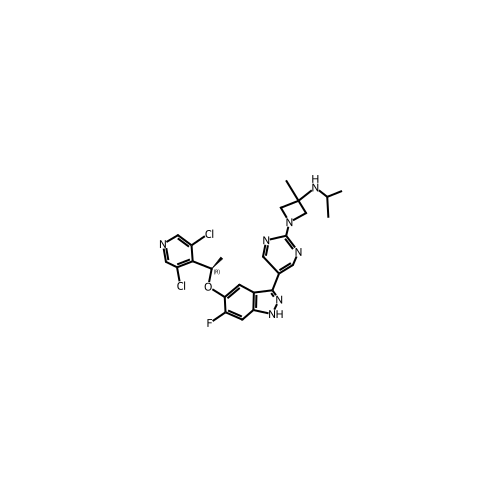 CC(C)NC1(C)CN(c2ncc(-c3n[nH]c4cc(F)c(O[C@H](C)c5c(Cl)cncc5Cl)cc34)cn2)C1